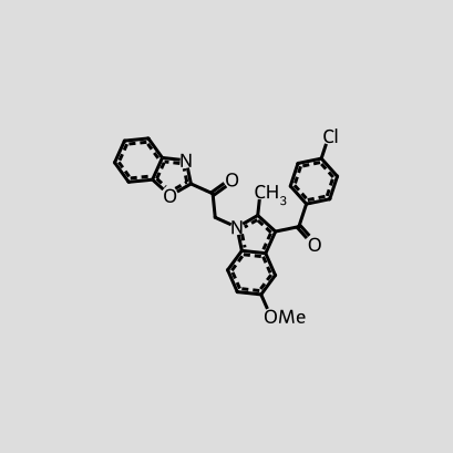 COc1ccc2c(c1)c(C(=O)c1ccc(Cl)cc1)c(C)n2CC(=O)c1nc2ccccc2o1